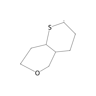 [CH]1CCC2COCCC2S1